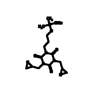 CO[Si](C)(C)OCCCn1c(=O)n(CC2CO2)c(=O)n(CC2CO2)c1=O